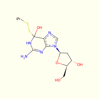 CC(C)SSC1(O)NC(N)=Nc2c1ncn2[C@H]1C[C@H](O)[C@@H](CO)O1